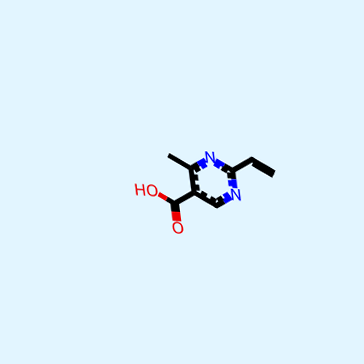 C=Cc1ncc(C(=O)O)c(C)n1